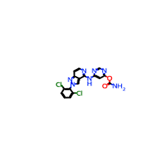 NC(=O)Oc1cc(Nc2nccc3nn(-c4c(Cl)cccc4Cl)cc23)ncn1